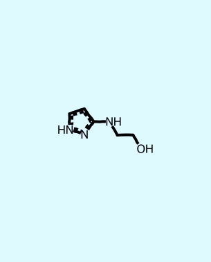 OCCNc1cc[nH]n1